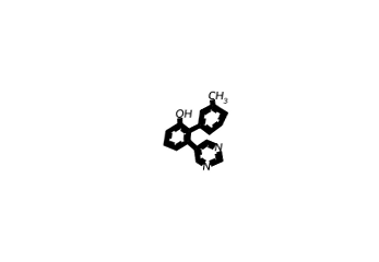 Cc1cccc(-c2c(O)cccc2-c2cncnc2)c1